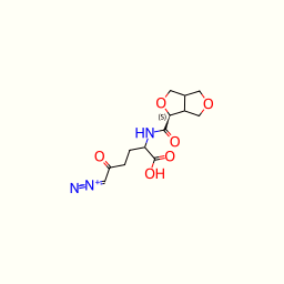 [N-]=[N+]=CC(=O)CCC(NC(=O)[C@H]1OCC2COCC21)C(=O)O